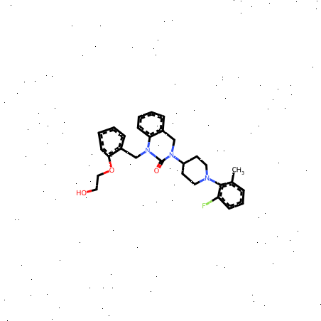 Cc1cccc(F)c1N1CCC(N2Cc3ccccc3N(Cc3ccccc3OCCO)C2=O)CC1